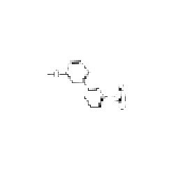 O=[SH](=O)c1cccc(-c2cccc(O)c2)c1